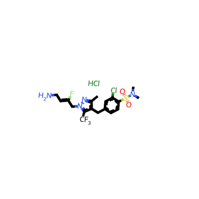 Cc1nn(C/C(F)=C/CN)c(C(F)(F)F)c1Cc1ccc(S(=O)(=O)N(C)C)c(Cl)c1.Cl